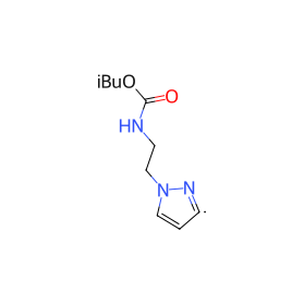 CC(C)COC(=O)NCCn1cc[c]n1